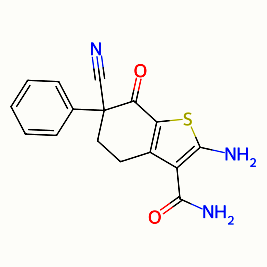 N#CC1(c2ccccc2)CCc2c(sc(N)c2C(N)=O)C1=O